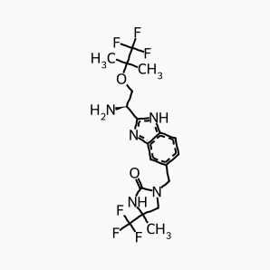 CC1(C(F)(F)F)CN(Cc2ccc3[nH]c([C@@H](N)COC(C)(C)C(F)(F)F)nc3c2)C(=O)N1